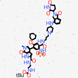 Cn1cc(-c2cc(NS(C)(=O)=O)c(C(=O)NCCCN3CCC(Nc4cccc5c4CN(C4CCC(=O)NC4=O)C5=O)CC3)cc2OC2CCCCC2)c2cc(C(=O)NCCNC(=O)OC(C)(C)C)[nH]c2c1=O